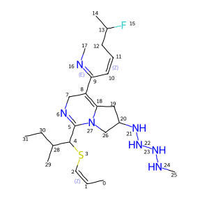 C/C=C\SC(C1=NCC(C(/C=C\CC(C)F)=N/C)=C2CC(NNNNC)CN12)C(C)CC